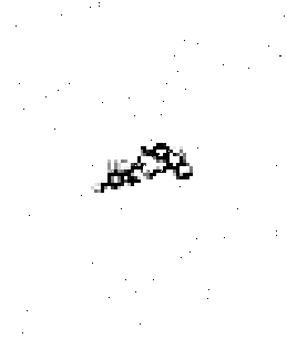 CC(=O)c1ccc2c(c1)C(=CCCN1CC[C@@](O)(c3ccc(Cl)cc3)C(C)(C)C1)c1cccnc1CO2